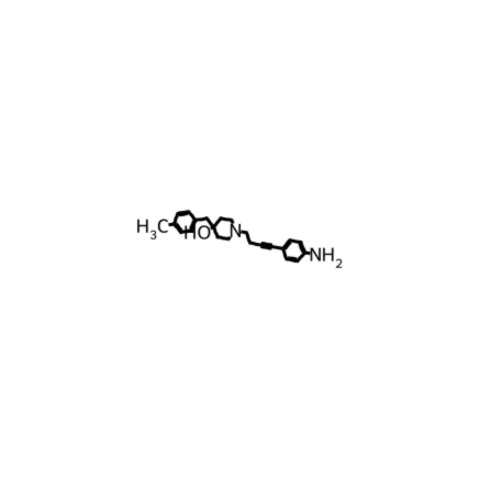 Cc1ccc(CC2(O)CCN(CCC#Cc3ccc(N)cc3)CC2)cc1